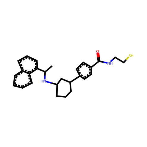 CC(NC1CCCC(c2ccc(C(=O)NCCS)cc2)C1)c1cccc2ccccc12